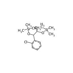 CC(O[Si](C)(C)C)C(O[Si](C)(C)C)c1ccccc1Cl